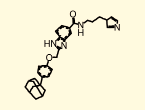 O=C(NCCCC1C=CN=C1)c1ccc2[nH]c(COc3ccc(C45CC6CC(CC(C6)C4)C5)cc3)nc2c1